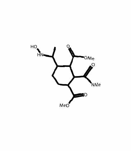 CNC(=O)C1C(C(=O)OC)CCC(C(C)NO)C1C(=O)OC